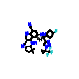 [2H][C@](Nc1cc(C#N)c2ncc(C#N)c(NC3CCCC3(C)C)c2c1)(c1ccc(F)cc1)c1cn(C2(C(F)(F)F)CC2)nn1